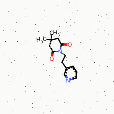 CC1(C)CC(=O)N(CCc2[c]nccc2)C(=O)C1